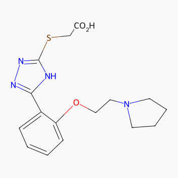 O=C(O)CSc1nnc(-c2ccccc2OCCN2CCCC2)[nH]1